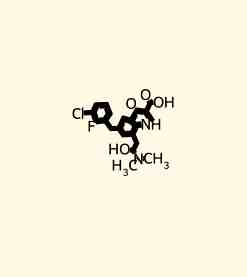 CN(C)C(O)Cc1cc(Cc2cccc(Cl)c2F)cc2c(=O)c(C(=O)O)c[nH]c12